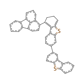 C1=c2sc3cc(-c4ccc5sc6ccccc6c5c4)ccc3c2=C(c2ccc3c4c(cccc24)-c2ccccc2-3)CC1